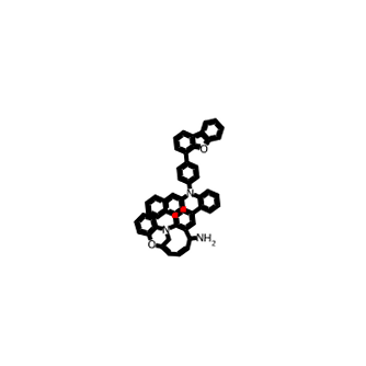 NC1/C=C\C=C2/CN(c3ccccc3O2)c2ccc(-c3ccccc3N(c3ccc(-c4cccc5c4oc4ccccc45)cc3)c3ccc4ccccc4c3)cc21